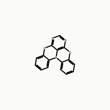 c1ccc2c(c1)Oc1ncnc3c1B2c1ccccc1O3